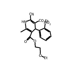 CCOCCOC(=O)C1=C(C)NC(C#N)=C(C(=O)OCC)C1c1ccccc1[N+](=O)[O-]